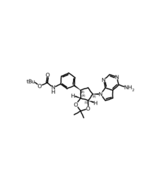 CC(C)(C)OC(=O)Nc1cccc([C@H]2C[C@@H](n3ccc4c(N)ncnc43)[C@@H]3OC(C)(C)O[C@@H]32)c1